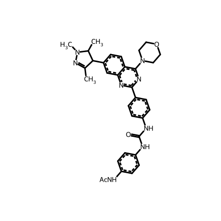 CC(=O)Nc1ccc(NC(=O)Nc2ccc(-c3nc(N4CCOCC4)c4ccc(C5C(C)=NN(C)C5C)cc4n3)cc2)cc1